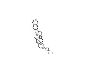 CC1(O)CN([C@H]2CCC3=CC4=CC[C@]5(C)C(c6ccc7ccncc7c6)CC[C@H]5[C@@]45CC[C@]3(C2)O5)C1